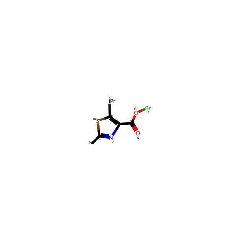 Cc1nc(C(=O)OBr)c(C(C)C)s1